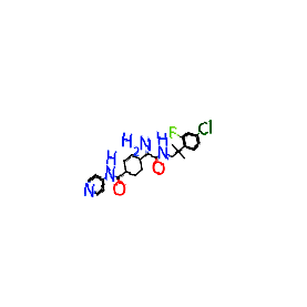 CC(C)(CNC(=O)C(N)C1CCC(C(=O)Nc2ccncc2)CC1)c1ccc(Cl)cc1F